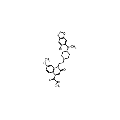 CNC(=O)c1cc(=O)n(CCN2CCC(N(C)c3cc4c(cc3Br)OCO4)CC2)c2cc(OC)ccc12